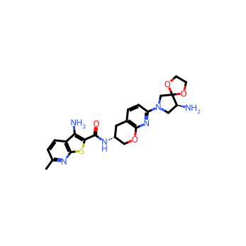 Cc1ccc2c(N)c(C(=O)N[C@H]3COc4nc(N5C[C@H](N)C6(C5)OCCO6)ccc4C3)sc2n1